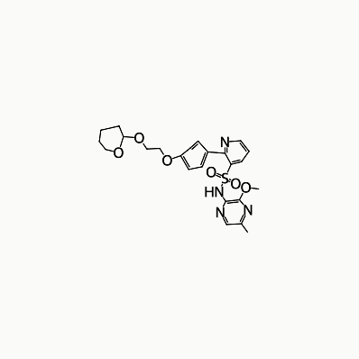 COc1nc(C)cnc1NS(=O)(=O)c1cccnc1-c1ccc(OCCOC2CCCCO2)cc1